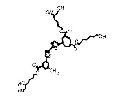 Cc1cc(C(=O)OCCCCC(O)CO)cc(-c2ccc(-c3ccc(C4=CC(C(=O)OCCCCC(CO)N=O)=CC(C(=O)OCCCCCCO)=CC4)s3)s2)c1